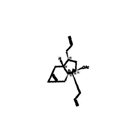 C=CC[C@@H]1C[C@@]2(OC(C)=O)C[C@@H](CC=C)[C@H]3CC4=C(C4)C[C@@]32O1